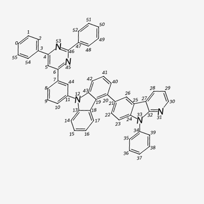 c1ccc(-c2cc(-c3cccc(-n4c5ccccc5c5c(-c6ccc7c(c6)c6cccnc6n7-c6ccccc6)cccc54)c3)nc(-c3ccccc3)n2)cc1